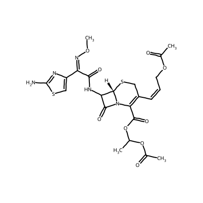 CO/N=C(\C(=O)NC1C(=O)N2C(C(=O)OC(C)OC(C)=O)=C(/C=C\COC(C)=O)CS[C@@H]12)c1csc(N)n1